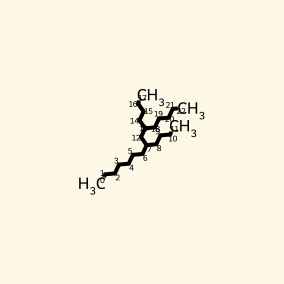 CCCCCCCC(CCCC)CC(CCCC)CCCCC